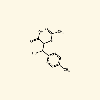 CC(=O)NC(C(=O)O)C(O)c1ccc(C)cc1